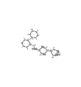 c1ccc(-c2ccccc2CNc2cnc(-c3cn[nH]c3)cn2)cc1